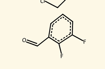 ClCCl.O=Cc1cccc(F)c1F